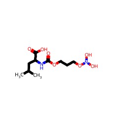 CC(C)CC(NC(=O)OCCCON(O)O)C(=O)O